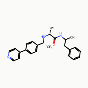 CC(C)[C@H](N[C@@H](c1ccc(-c2ccncc2)cc1)C(F)(F)F)C(=O)NC(C#N)Cc1ccccc1